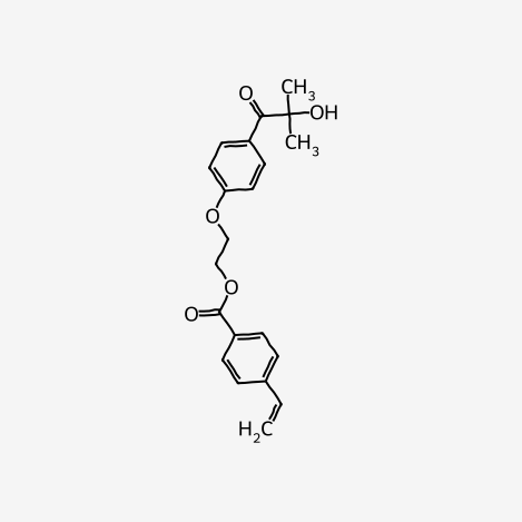 C=Cc1ccc(C(=O)OCCOc2ccc(C(=O)C(C)(C)O)cc2)cc1